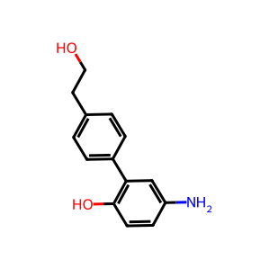 Nc1ccc(O)c(-c2ccc(CCO)cc2)c1